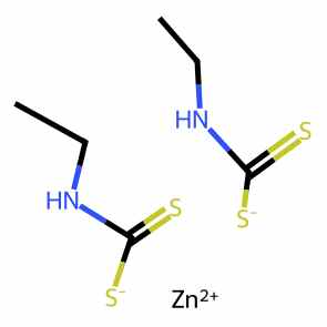 CCNC(=S)[S-].CCNC(=S)[S-].[Zn+2]